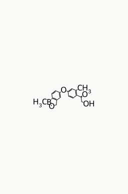 CB1OCc2cc(Oc3ccc(C(=O)CO)c(C)c3)ccc21